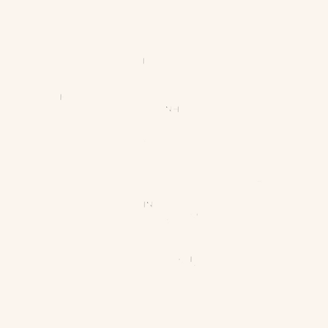 C=CC(=O)NCCc1c(-c2ccc(F)cc2)[nH]c2c(F)cc(F)cc12